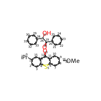 CC(C)c1ccc2sc3ccccc3c(=O)c2c1.COC.O=C(c1ccccc1)C(O)c1ccccc1